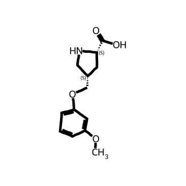 COc1cccc(OC[C@@H]2CN[C@H](C(=O)O)C2)c1